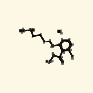 CNCCCCOc1cccc(F)c1C(=O)OC.Cl